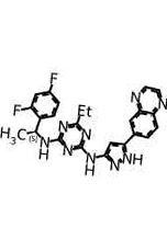 CCc1nc(Nc2cc(-c3ccc4nccnc4c3)[nH]n2)nc(N[C@@H](C)c2ccc(F)cc2F)n1